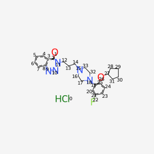 Cl.O=c1c2ccccc2nnn1CCCN1CCN(c2cc(F)ccc2OC2CCCC2)CC1